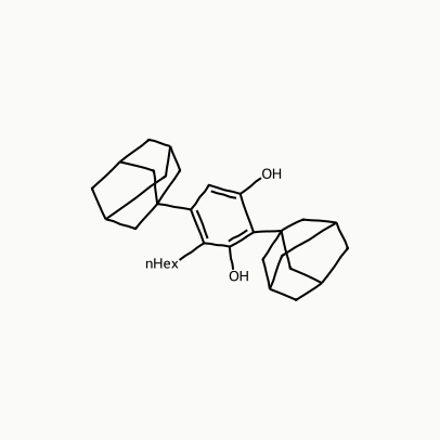 CCCCCCc1c(C23CC4CC(CC(C4)C2)C3)cc(O)c(C23CC4CC(CC(C4)C2)C3)c1O